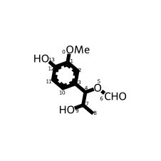 COc1cc(C(OC=O)C(C)O)ccc1O